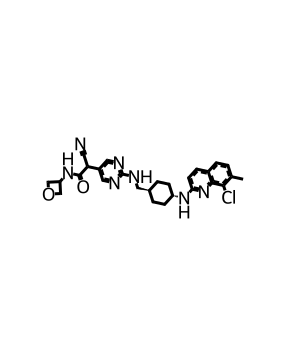 Cc1ccc2ccc(N[C@H]3CC[C@H](CNc4ncc(C(C#N)C(=O)NC5COC5)cn4)CC3)nc2c1Cl